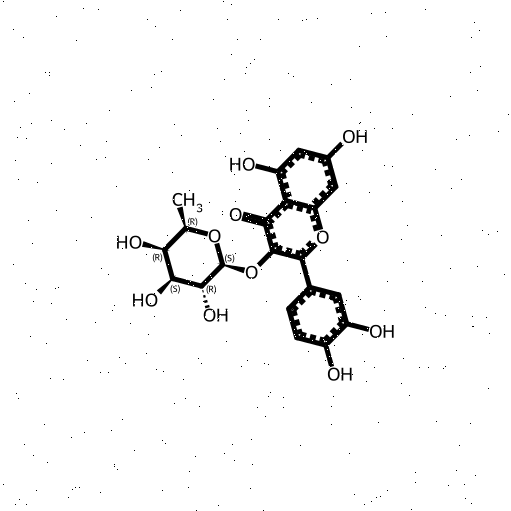 C[C@H]1O[C@@H](Oc2c(-c3ccc(O)c(O)c3)oc3cc(O)cc(O)c3c2=O)[C@H](O)[C@@H](O)[C@H]1O